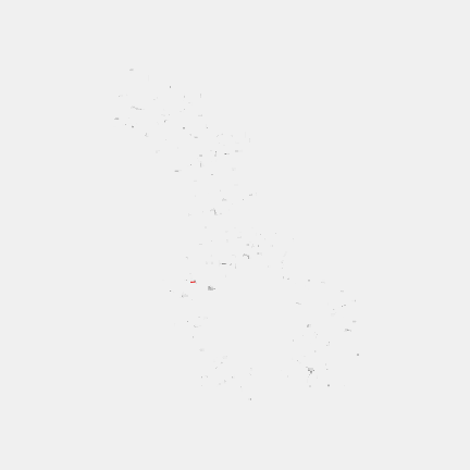 C=C1C[C@@H]2CC[C@]3(O)O[C@@H]4C[C@H](CC(O)(O)[C@H]3O)O[C@H]3CC[C@H](CC(=O)O[C@@H]5[C@@H](C)[C@@H]6O[C@@H]7C[C@@]8(C[C@@H]9O[C@]%10(C[C@H](C)[C@@H]%11C[C@H](CC(=O)O)[C@H](O)C[C@@H]%11O%10)C[C@H](C)[C@@H]9O8)O[C@@H]7C[C@@H]6O[C@H]5C[C@H]5O[C@@H](CC[C@@H]1O2)C[C@@H](C)C5=C)OC34